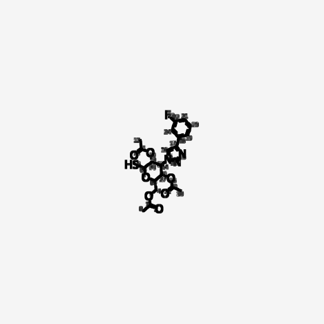 CC(=O)OC[C@H]1O[C@@H](S)[C@H](OC(C)=O)[C@@H](n2cc(-c3cccc(F)c3)nn2)[C@H]1OC(C)=O